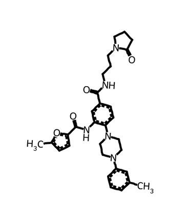 Cc1cccc(N2CCN(c3ccc(C(=O)NCCCN4CCCC4=O)cc3NC(=O)c3ccc(C)o3)CC2)c1